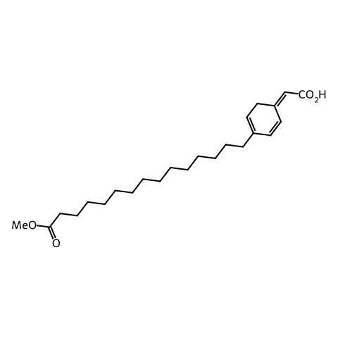 COC(=O)CCCCCCCCCCCCCCC1=CCC(=CC(=O)O)C=C1